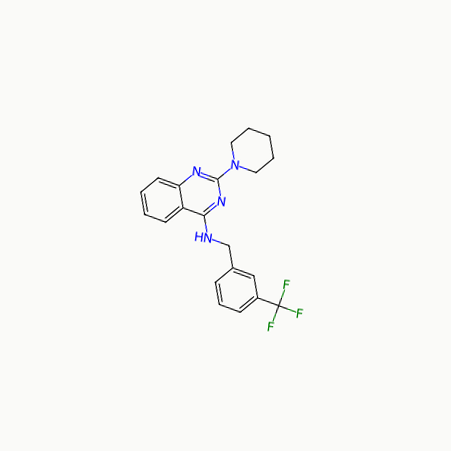 FC(F)(F)c1cccc(CNc2nc(N3CCCCC3)nc3ccccc23)c1